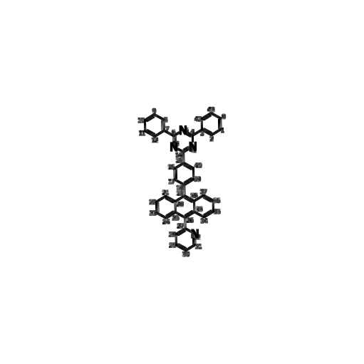 c1ccc(-c2nc(-c3ccccc3)nc(-c3ccc(-c4c5ccccc5c(-c5ccccn5)c5ccccc45)cc3)n2)cc1